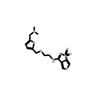 CN(C)Cc1ccc(CSCCNC2=NS(=O)(=O)c3cscc32)o1